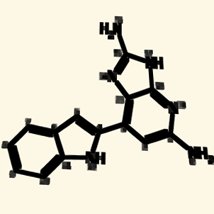 Nc1cc(-c2cc3ccccc3[nH]2)c2nc(N)[nH]c2n1